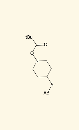 CC(=O)SC1CCN(OC(=O)C(C)(C)C)CC1